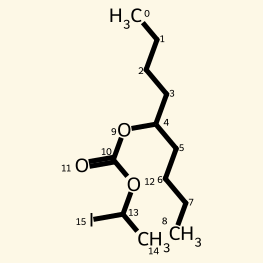 CCCCC(CCCC)OC(=O)OC(C)I